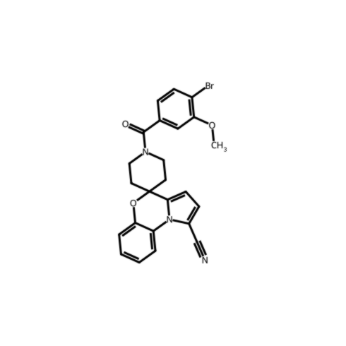 COc1cc(C(=O)N2CCC3(CC2)Oc2ccccc2-n2c(C#N)ccc23)ccc1Br